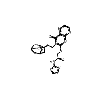 O=C(CSc1nc2nccnc2c(=O)n1CCC12CC3CC(CC1C3)C2)Nc1nccs1